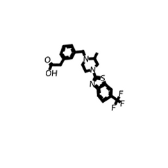 CC1CN(c2nc3ccc(C(F)(F)F)cc3s2)CCN1Cc1cccc(CC(=O)O)c1